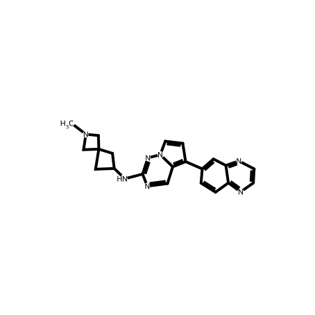 CN1CC2(CC(Nc3ncc4c(-c5ccc6nccnc6c5)ccn4n3)C2)C1